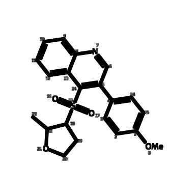 COc1ccc(-c2cnc3ccccc3c2S(=O)(=O)C2CCOC2C)cc1